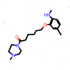 CNc1ccc(C)cc1OCCCCCC(=O)N1CCN(C)CC1